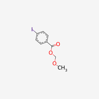 COCOC(=O)c1ccc(I)cc1